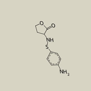 Nc1ccc(SNC2CCOC2=O)cc1